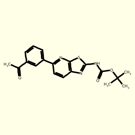 CC(=O)c1cccc(-c2ccc3nc(NC(=O)OC(C)(C)C)sc3n2)c1